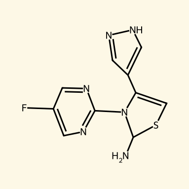 NC1SC=C(c2cn[nH]c2)N1c1ncc(F)cn1